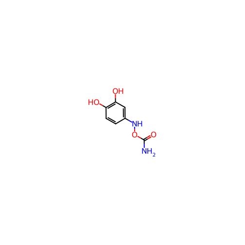 NC(=O)ONc1ccc(O)c(O)c1